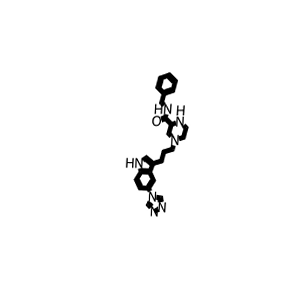 O=C(NCc1ccccc1)C1CN(CCCc2c[nH]c3ccc(-n4cnnc4)cc23)CCN1